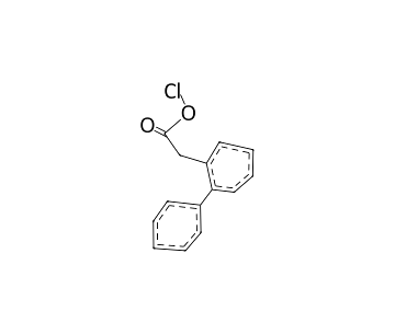 O=C(Cc1ccccc1-c1ccccc1)OCl